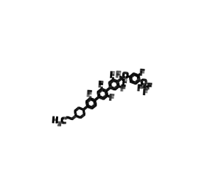 CCCC1CCC(c2ccc(-c3cc(F)c(-c4cc(F)c(C(F)(F)Oc5ccc(OC(F)(F)F)c(F)c5)c(F)c4)c(F)c3)c(F)c2)CC1